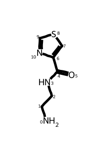 NCCNC(=O)c1cscn1